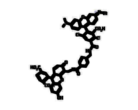 CC/N=c1\ccc2c(-c3c(Cl)cc(C(=O)NCc4ccc(C(=O)NCc5c6oc7cc(O)ccc7c(-c7cc(C(=O)O)ccc7C(=O)O)c-6ccc5=O)cc4)c(Cl)c3C(=O)O)c3ccc(N(C)C)cc3oc-2c1